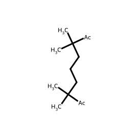 CC(=O)C(C)(C)CCCC(C)(C)C(C)=O